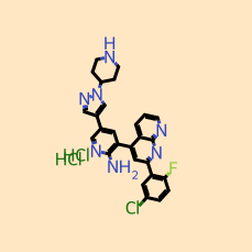 Cl.Cl.Nc1ncc(-c2cnn(C3CCNCC3)c2)cc1-c1cc(-c2cc(Cl)ccc2F)nc2ncccc12